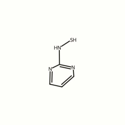 SNc1ncccn1